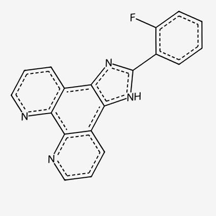 Fc1ccccc1-c1nc2c3cccnc3c3ncccc3c2[nH]1